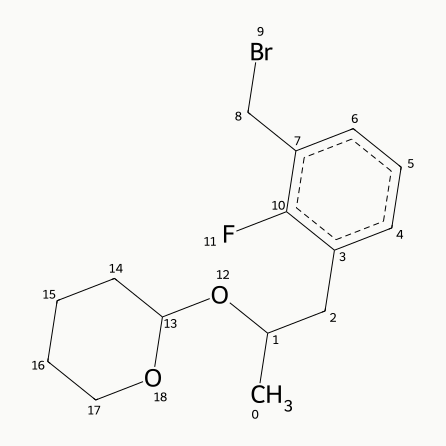 CC(Cc1cccc(CBr)c1F)OC1CCCCO1